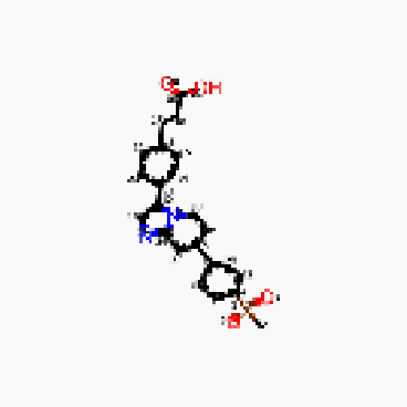 CS(=O)(=O)c1ccc(-c2ccn3c(-c4ccc(CCC(=O)O)cc4)cnc3c2)cc1